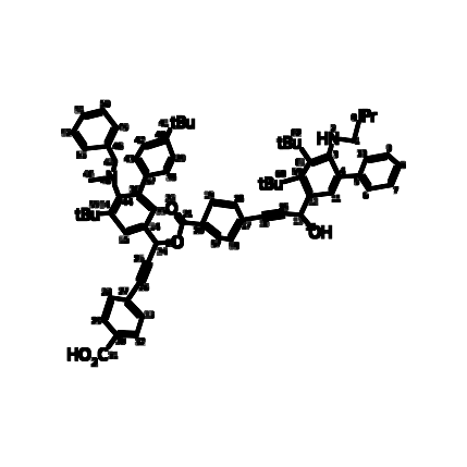 CC(C)CNc1c(-c2ccccc2)cc(C(O)C#Cc2ccc(C(=O)OC(C#Cc3ccc(C(=O)O)cc3)c3cc(-c4ccc(C(C)(C)C)cc4)c(N(C)Cc4ccccc4)c(C(C)(C)C)c3)cc2)c(C(C)(C)C)c1C(C)(C)C